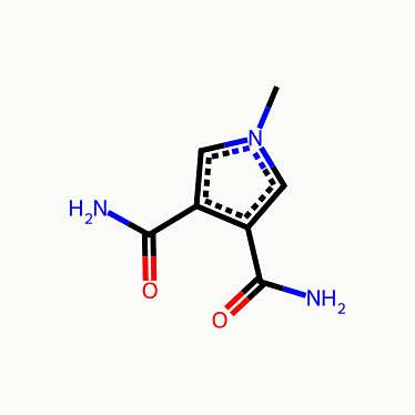 Cn1cc(C(N)=O)c(C(N)=O)c1